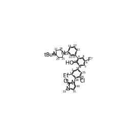 CCc1cc(-c2cc(F)cc(-c3cccc(N4CCN(C(C)(C)C)CC4)c3)c2O)cc(Cl)c1-n1ccn(C)c1=O